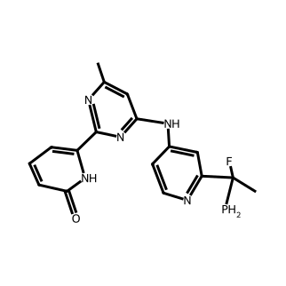 Cc1cc(Nc2ccnc(C(C)(F)P)c2)nc(-c2cccc(=O)[nH]2)n1